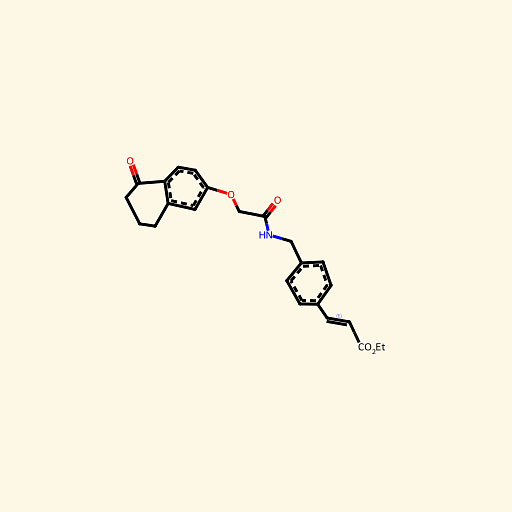 CCOC(=O)/C=C/c1ccc(CNC(=O)COc2ccc3c(c2)CCCC3=O)cc1